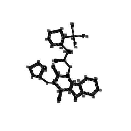 O=C(Cn1c(=O)n(Cc2ccco2)c(=O)c2sc3ccccc3c21)Nc1ccccc1C(F)(F)F